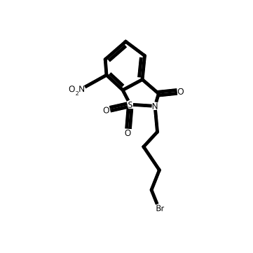 O=C1c2cccc([N+](=O)[O-])c2S(=O)(=O)N1CCCCBr